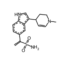 C=C(c1ccc2[nH]cc(C3C=CN(C)CC3)c2c1)S(N)(=O)=O